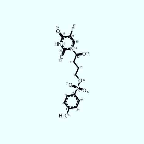 Cc1ccc(S(=O)(=O)OCCCC(=O)n2cc(F)c(=O)[nH]c2=O)cc1